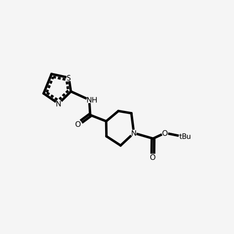 CC(C)(C)OC(=O)N1CCC(C(=O)Nc2nccs2)CC1